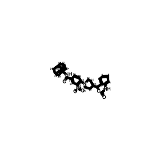 O=C1Nc2ccccc2C(C2CCN(c3ccc(C(=O)NC45CC6CC(CC(C6)C4)C5)cc3[N+](=O)[O-])CC2)O1